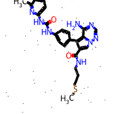 CSCCCNC(=O)c1cn2ncnc(N)c2c1-c1ccc(NC(=O)Nc2cccc(C)n2)cc1